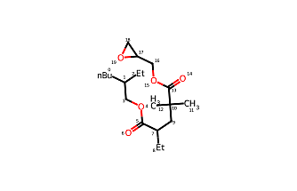 CCCCC(CC)COC(=O)C(CC)CC(C)(C)C(=O)OCC1CO1